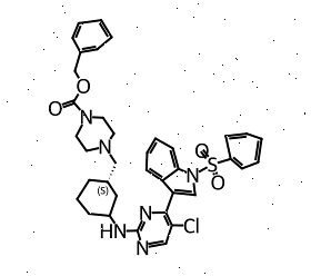 O=C(OCc1ccccc1)N1CCN(C[C@H]2CCCC(Nc3ncc(Cl)c(-c4cn(S(=O)(=O)c5ccccc5)c5ccccc45)n3)C2)CC1